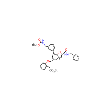 CCOC(=O)Cc1ccccc1OCC1=CC(c2cccc(CNC(=O)OC(C)(C)C)c2)=C2OC(C(=O)NCc3ccccc3)=CC2(C)C1